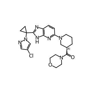 O=C([C@@H]1CCCN(c2ccc3nc(C4(n5cc(Cl)cn5)CC4)[nH]c3n2)C1)N1CCOCC1